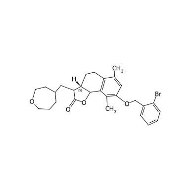 Cc1cc(OCc2ccccc2Br)c(C)c2c1CC[C@H]1C(CC3CCCOCC3)C(=O)OC21